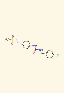 CS(=O)(=O)NCc1ccc(NC(=O)NCc2ccc(Cl)cc2)cc1